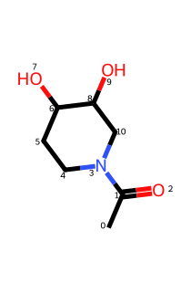 CC(=O)N1CCC(O)C(O)C1